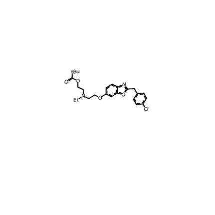 CCN(CCOC(=O)C(C)(C)C)CCOc1ccc2nc(Cc3ccc(Cl)cc3)oc2c1